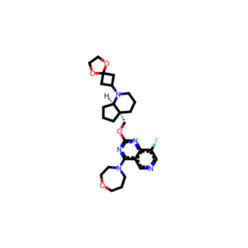 Fc1cncc2c(N3CCCOCC3)nc(OC[C@]34CCC[C@H]3N(C3CC5(C3)OCCO5)CCC4)nc12